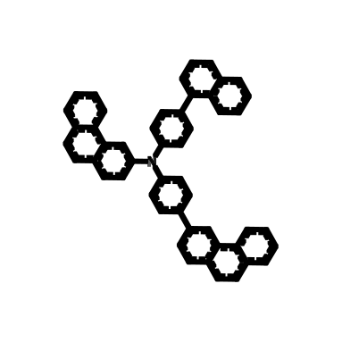 c1ccc2c(-c3ccc(N(c4ccc(-c5ccc6ccc7ccccc7c6c5)cc4)c4ccc5ccc6ccccc6c5c4)cc3)cccc2c1